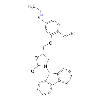 C/C=C/c1ccc(OCC)c(OCC2CN(C3c4ccccc4-c4ccccc43)C(=O)O2)c1